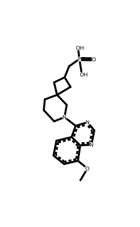 COc1cccc2c(N3CCCC4(CC(CP(=O)(O)O)C4)C3)ncnc12